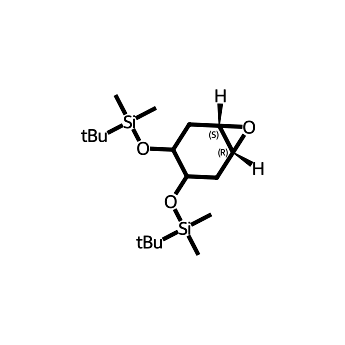 CC(C)(C)[Si](C)(C)OC1C[C@@H]2O[C@@H]2CC1O[Si](C)(C)C(C)(C)C